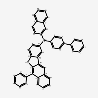 c1ccc(-c2ccc(N(c3ccc4ccccc4c3)c3ccc4oc5c(-c6ccccc6)c6ccccc6cc5c4c3)cc2)cc1